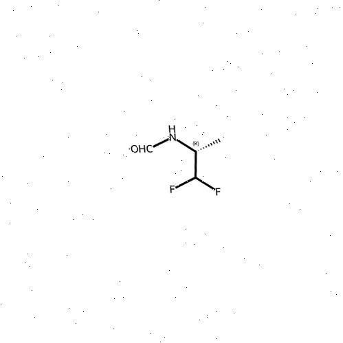 C[C@@H](N[C]=O)C(F)F